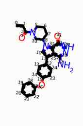 C=CC(=O)N1CCCC(n2cc(-c3ccc(Oc4ccccc4)cc3)c3c(N)n[nH]c(=O)c32)C1